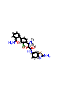 CCN(CC)C(c1ccc(-c2ccccc2C(N)=O)cc1Cl)C(O)C(=O)Nc1ccc2nc(N)sc2c1